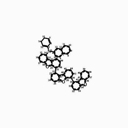 C1=CC(N(c2ccc3ccccc3c2)c2cccc3oc4c(-c5cccc6oc7c(-c8cccc9oc%10ccccc%10c89)cccc7c56)cccc4c23)=CCC1